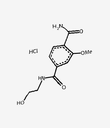 COc1cc(C(=O)NCCO)ccc1C(N)=O.Cl